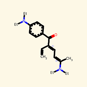 C=C/C(=C\C=C(/C)N(CC)CC)C(=O)c1ccc(N(CC)CC)cc1